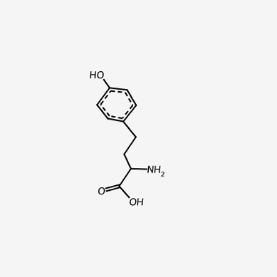 NC(CCc1ccc(O)cc1)C(=O)O